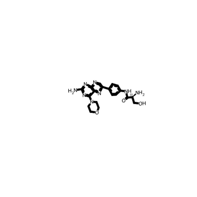 Nc1nc(N2CCOCC2)c2nc(-c3ccc(NC(=O)[C@@H](N)CO)cc3)cnc2n1